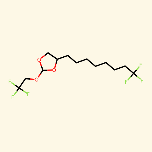 FC(F)(F)CCCCCCCC1COC(OCC(F)(F)F)O1